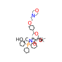 C[C@@H](O[Si](C)(C)C)[C@H]1C(=O)N(C(C(=O)O)=P(c2ccccc2)(c2ccccc2)c2ccccc2)[C@@H]1CC(=O)c1ccc(OCCN2CCOCC2)cc1